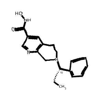 CC[C@@H](c1ccccc1)N1CCc2cc(C(=O)NO)cnc2C1